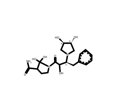 NC(=O)C1CCN(C(=O)C(O)[C@H](Cc2ccccc2)N2C[C@@H](O)[C@H](O)C2)C1(O)O